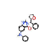 Cc1nc2ccc(N(C)c3ccccc3)cc2c(=O)n1C(c1ccccc1)C1CCCO1